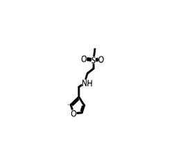 CS(=O)(=O)CCNCc1[c]occ1